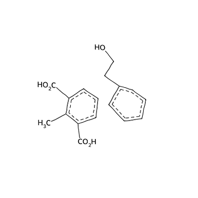 Cc1c(C(=O)O)cccc1C(=O)O.OCCc1ccccc1